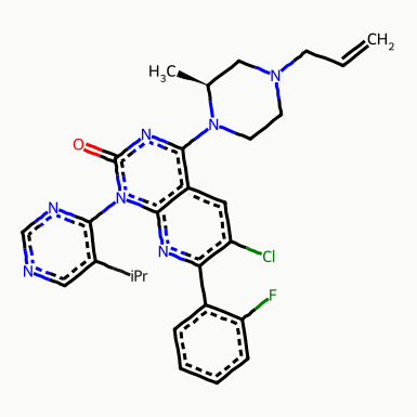 C=CCN1CCN(c2nc(=O)n(-c3ncncc3C(C)C)c3nc(-c4ccccc4F)c(Cl)cc23)[C@@H](C)C1